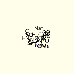 CO/N=C(\C(=O)N[C@H]1C(=O)N(S(=O)(=O)[O-])[C@H]1C)c1csc(NC(=O)CCl)n1.[Na+]